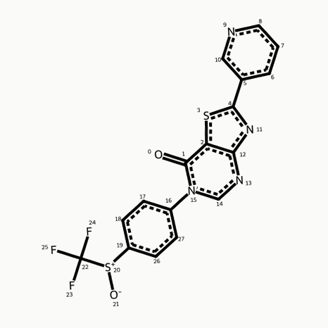 O=c1c2sc(-c3cccnc3)nc2ncn1-c1ccc([S+]([O-])C(F)(F)F)cc1